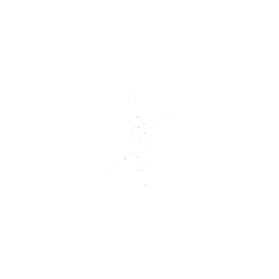 c1ccc(-c2ccc(N(c3ccc4oc5ccccc5c4c3)c3ccc4ccc5c(N(c6ccc(-c7ccccc7)cc6)c6ccc7oc8ccccc8c7c6)ccc6ccc3c4c65)cc2)cc1